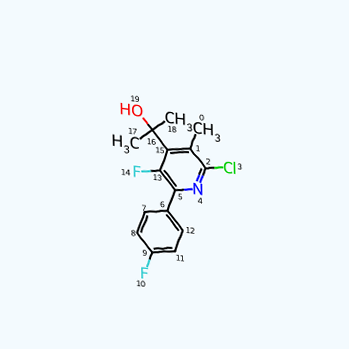 Cc1c(Cl)nc(-c2ccc(F)cc2)c(F)c1C(C)(C)O